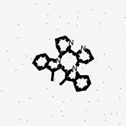 Cc1c2ccccc2n2c3cccnc3c3ncccc3n3c4ccccc4c(C)c3c12